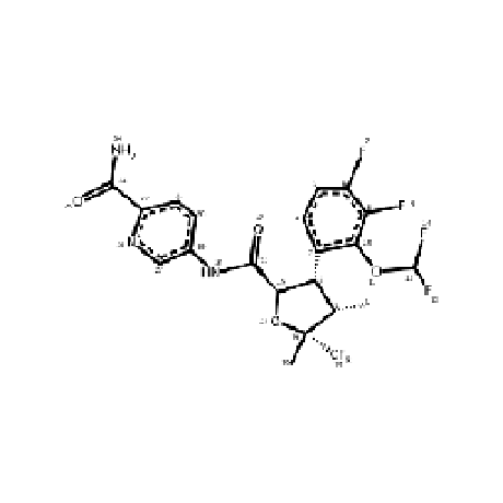 C[C@H]1[C@@H](c2ccc(F)c(F)c2OC(F)F)[C@H](C(=O)Nc2ccc(C(N)=O)nc2)O[C@@]1(C)C(F)(F)F